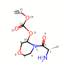 C[C@H](N)C(=O)N1CCOCC1OC(=O)OC(C)(C)C